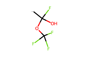 [CH2]C(O)(F)OC(F)(F)F